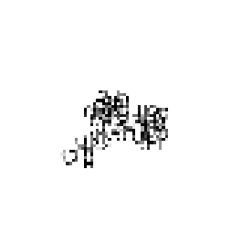 O=C(Nc1ccn([C@H]2C[C@H](O)[C@@H](COP(=O)(O)OP(=O)(O)OP(=O)(O)O)O2)c(=O)n1)c1ccccc1.O=P(O)(O)OP(=O)(O)OP(=O)(O)O